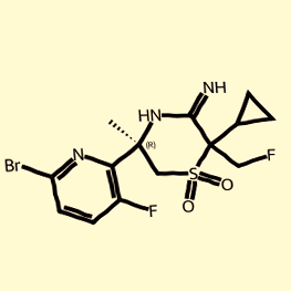 C[C@@]1(c2nc(Br)ccc2F)CS(=O)(=O)C(CF)(C2CC2)C(=N)N1